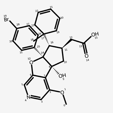 COc1cncc2c1[C@]1(O)C[C@H](CC(=O)O)[C@@H](C3(C)C=CC=CC3)[C@]1(c1ccc(Br)cc1)O2